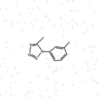 Cc1[c]ccc(-n2nnnc2C)c1